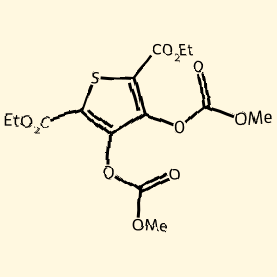 CCOC(=O)c1sc(C(=O)OCC)c(OC(=O)OC)c1OC(=O)OC